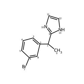 CC(c1cccc(Br)c1)c1ncc[nH]1